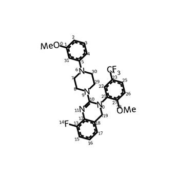 COc1cccc(N2CCN(C3=Nc4c(F)cccc4[CH]N3c3cc(C(F)(F)F)ccc3OC)CC2)c1